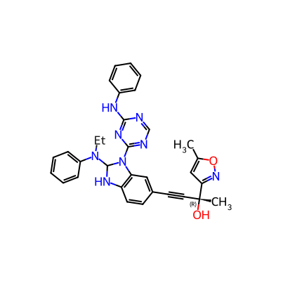 CCN(c1ccccc1)C1Nc2ccc(C#C[C@@](C)(O)c3cc(C)on3)cc2N1c1ncnc(Nc2ccccc2)n1